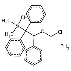 C[Si](C)(C)C(c1ccccc1)(c1ccccc1)C(OCCl)c1ccccc1.P